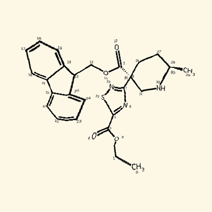 CCOC(=O)c1nc([C@@]2(C(=O)OCC3c4ccccc4-c4ccccc43)CC[C@@H](C)NC2)ns1